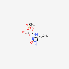 C=CCc1c[nH]c(=O)nc1N[C@@H]1O[C@H](CO)[C@H](OS(C)(=O)=O)[C@H]1O